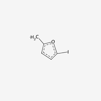 [CH2]c1ccc(I)o1